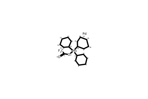 O=C(O[PH](C1CCCCC1)(C1CCCCC1)C1CCCCC1)C(F)(F)F.[Pd]